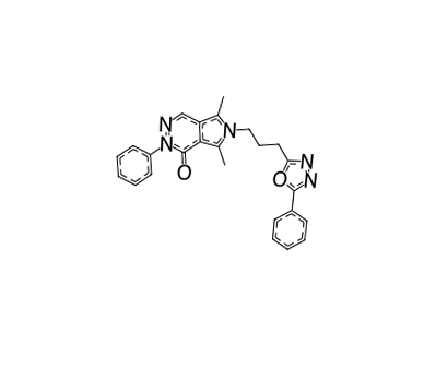 Cc1c2cnn(-c3ccccc3)c(=O)c2c(C)n1CCCc1nnc(-c2ccccc2)o1